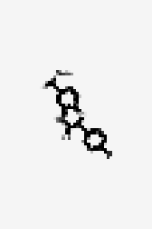 COC(=O)c1ccc2nc(-c3ccc(F)cc3)c(=O)[nH]c2c1